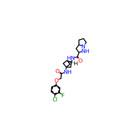 O=C(COc1ccc(Cl)c(F)c1)NC12CC(C1)[C@@H](NC(=O)C1CC3CCCN3N1)C2